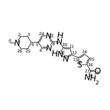 CN1CCC(c2cnc(Nc3cc(-c4ccc(C(N)=O)s4)n[nH]3)nc2)CC1